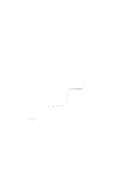 [CH2]COC(C)[CH]ONOC